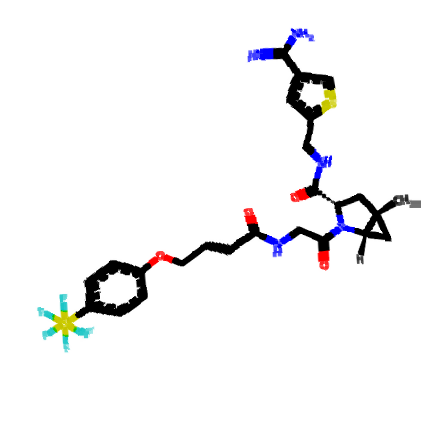 C[C@@]12C[C@@H]1N(C(=O)CNC(=O)CCCOc1ccc(S(F)(F)(F)(F)F)cc1)[C@H](C(=O)NCc1cc(C(=N)N)cs1)C2